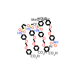 CC(C)S(=O)(=O)Nc1ccc(OCCOc2ccc(C(=O)O)cc2)cc1.COc1ccc(S(=O)(=O)Nc2ccc(OCCOc3ccc(C(=O)O)cc3)cc2)cc1OC.O=C(O)c1ccc(OCCOc2ccc(NS(=O)(=O)CC(F)(F)F)cc2)cc1.O=C(O)c1ccc(OCCOc2ccc(NS(=O)(=O)c3cccs3)cc2)cc1